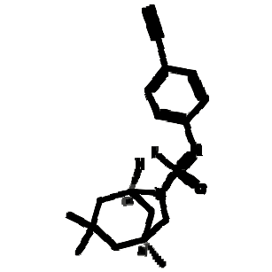 C#Cc1ccc(N=S(=O)(F)N2C[C@]3(C)C[C@H]2CC(C)(C)C3)cc1